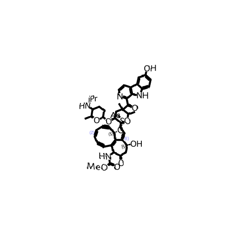 COC(=O)NC1C(=O)C[C@H](O)/C(=C/CSC(C)=O)C2=C1C#C/C=C\C#C[C@@H]2OC1OC(C)C(C)(C(=O)c2nccc3c2[nH]c2ccc(O)cc23)CC1OC1CCC(NC(C)C)C(C)O1